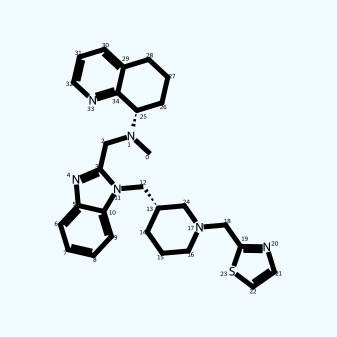 CN(Cc1nc2ccccc2n1C[C@H]1CCCN(Cc2nccs2)C1)[C@H]1CCCc2cccnc21